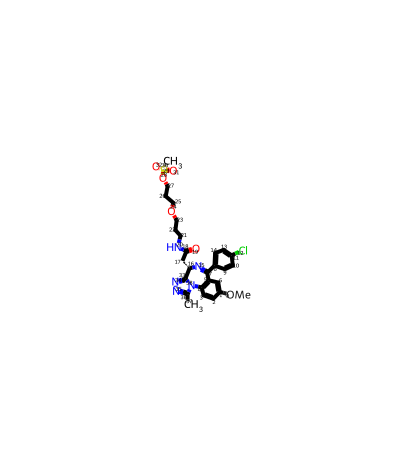 COc1ccc2c(c1)C(c1ccc(Cl)cc1)=N[C@@H](CC(=O)NCCCOCCCOS(C)(=O)=O)c1nnc(C)n1-2